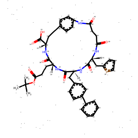 CC(C)(C)OC(=O)CC[C@H]1NC(=O)[C@H](Cc2ccc(-c3ccccc3)cc2)NC(=O)[C@@H](Cc2cccs2)NC(=O)CCC(=O)Nc2ccc(cc2)C[C@@H](C(=O)O)NC1=O